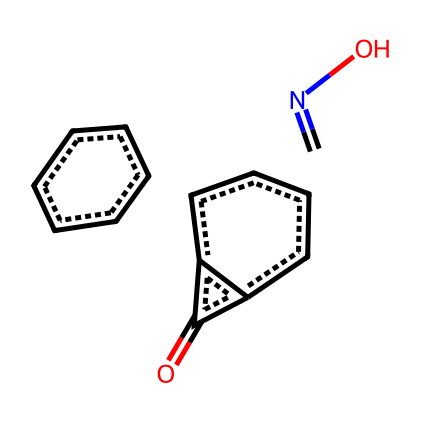 C=NO.O=c1c2ccccc12.c1ccccc1